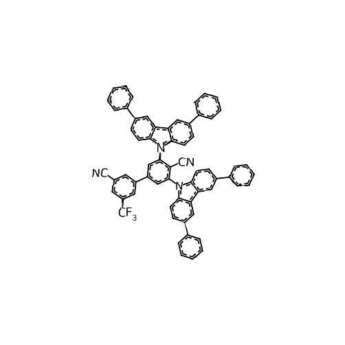 N#Cc1cc(-c2cc(-n3c4ccc(-c5ccccc5)cc4c4cc(-c5ccccc5)ccc43)c(C#N)c(-n3c4ccc(-c5ccccc5)cc4c4cc(-c5ccccc5)ccc43)c2)cc(C(F)(F)F)c1